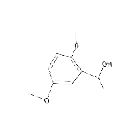 COc1ccc(OC)c(C(C)O)c1